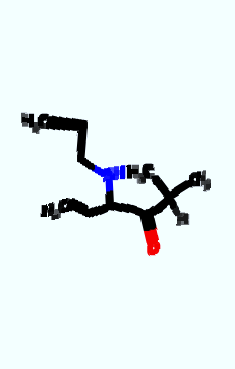 C=CCN[C](C=C)C(=O)C(C)(C)CC